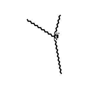 CCCCCCCCCCCCCCCCCCn1cc[n+](CCCCCCCCCC)c1CCCCCCCCCCCCCCCC